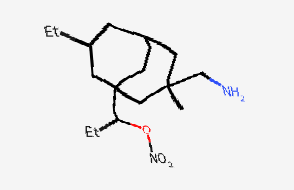 CCC1CC2CC(C)(CN)CC(C(CC)O[N+](=O)[O-])(C1)C2